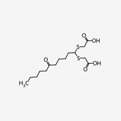 CCCCCC(=O)CCCCC(SCC(=O)O)SCC(=O)O